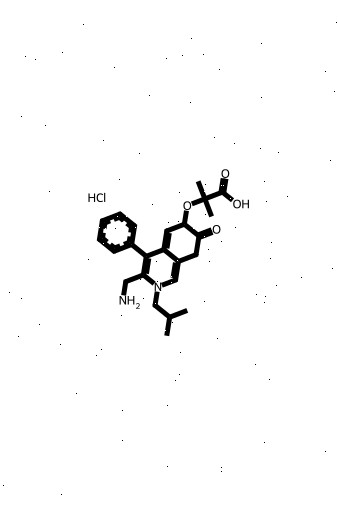 CC(C)CN1C=C2CC(=O)C(OC(C)(C)C(=O)O)C=C2C(c2ccccc2)=C1CN.Cl